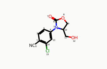 N#Cc1ccc(N2C(=O)OCC2CO)cc1Cl